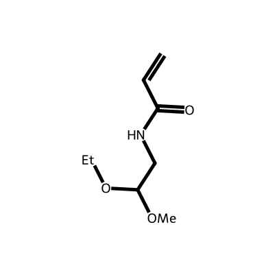 C=CC(=O)NCC(OC)OCC